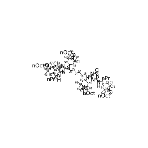 CCCCCCCCON1C(C)(C)CC(C(CCC)Nc2nc(Cl)nc(N(CCCCCCN(c3nc(Cl)nc(NC(CCC)C4CC(C)(C)N(OCCCCCCCC)C(C)(C)C4)n3)C3CC(C)(C)N(OCCCCCCCC)C(C)(C)C3)C3CC(C)(C)N(OCCCCCCCC)C(C)(C)C3)n2)CC1(C)C